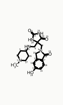 CN1CCC(NCC2(CN3Cc4cc(O)ccc4C3=O)NC(=O)NC2=O)CC1